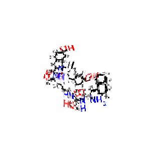 CN(C(=O)CCc1ccc(O)cc1)[C@@H](Cc1ccc(O)cc1)C(=O)N[C@@H]([C]=O)CCCCNC(=O)[C@H](CO)NC(=O)[C@@H](N)Cc1cccc2ccccc12